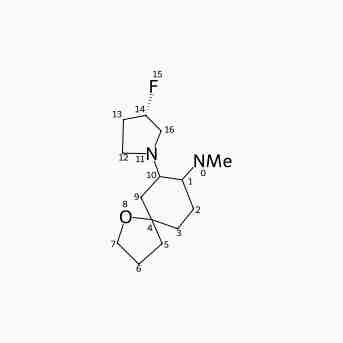 CNC1CCC2(CCCO2)CC1N1CC[C@H](F)C1